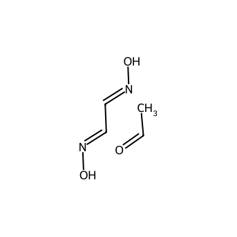 CC=O.O/N=C/C=N/O